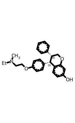 CCN(C)CCOc1ccc([C@H]2c3ccc(O)cc3OC[C@H]2c2ccccc2)cc1